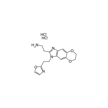 Cl.Cl.NCCc1nc2cc3c(cc2n1CCc1ncco1)OCCO3